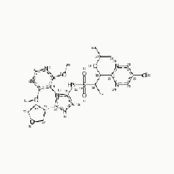 COc1ncnc(OC)c1-n1c(NS(=O)(=O)C(C)C(OC(C)C)c2ncc(Cl)cn2)nnc1[C@H]1CCOC1